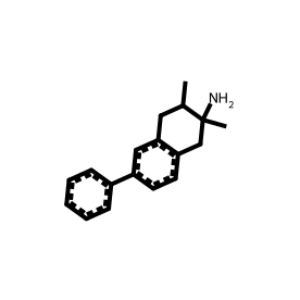 CC1Cc2cc(-c3ccccc3)ccc2CC1(C)N